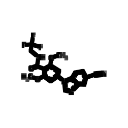 COc1cc(-n2cnc3cc(C#N)ccc32)cc(OC)c1C(=O)NCC(F)(F)F